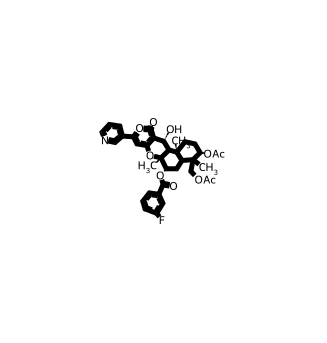 CC(=O)OCC1(C)C2C[C@H](OC(=O)c3cccc(F)c3)[C@@]3(C)Oc4cc(-c5cccnc5)oc(=O)c4[C@H](O)C3[C@@]2(C)CC[C@@H]1OC(C)=O